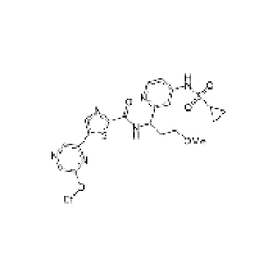 CCOc1cncc(-c2cnc(C(=O)NC(CCOC)c3cc(NS(=O)(=O)C4CC4)ccn3)s2)n1